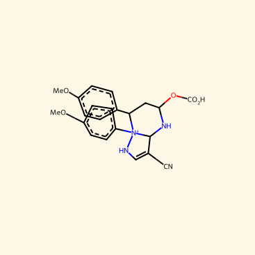 COc1ccc(C2CC(OC(=O)O)NC3C(C#N)=CN[N+]32c2ccc(OC)cc2)cc1